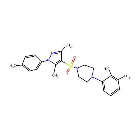 Cc1ccc(-n2nc(C)c(S(=O)(=O)N3CCN(c4cccc(C)c4C)CC3)c2C)cc1